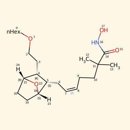 CCCCCCOCC[C@@H]1[C@H](C/C=C\CCC(C)(C)C(=O)NO)[C@@H]2CC[C@H]1O2